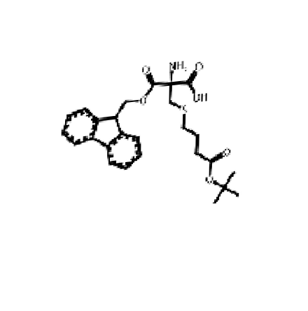 CC(C)(C)OC(=O)CCCSC[C@@](N)(C(=O)O)C(=O)OCC1c2ccccc2-c2ccccc21